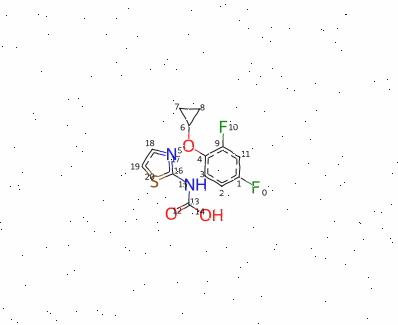 Fc1ccc(OC2CC2)c(F)c1.O=C(O)Nc1nccs1